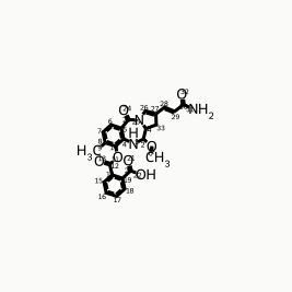 COC1Nc2c(ccc(C)c2OC(=O)c2ccccc2C(=O)O)C(=O)N2C=C(C=CC(N)=O)CC12